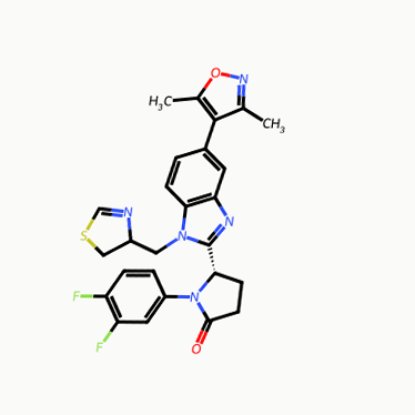 Cc1noc(C)c1-c1ccc2c(c1)nc([C@@H]1CCC(=O)N1c1ccc(F)c(F)c1)n2CC1CSC=N1